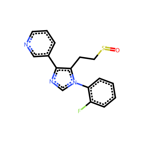 O=[S+]CCc1c(-c2cccnc2)ncn1-c1ccccc1F